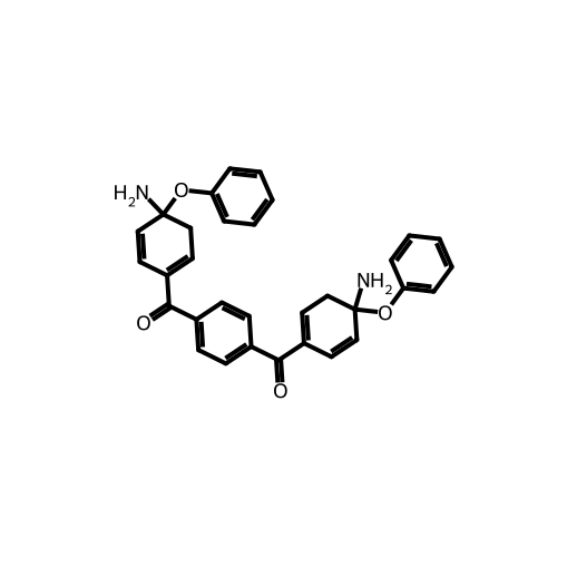 NC1(Oc2ccccc2)C=CC(C(=O)c2ccc(C(=O)C3=CCC(N)(Oc4ccccc4)C=C3)cc2)=CC1